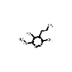 CCCc1c(C)nnc(NC)c1N